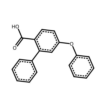 O=C(O)c1ccc(Oc2ccccc2)cc1-c1ccccc1